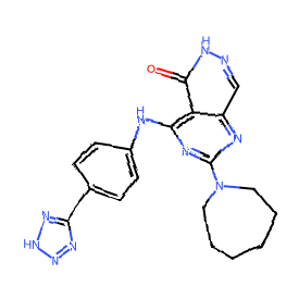 O=c1[nH]ncc2nc(N3CCCCCC3)nc(Nc3ccc(-c4nn[nH]n4)cc3)c12